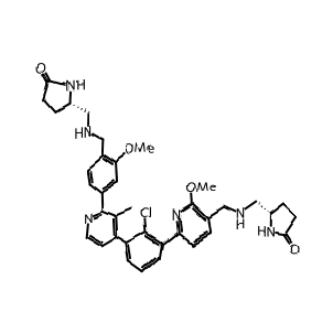 COc1cc(-c2nccc(-c3cccc(-c4ccc(CNC[C@@H]5CCC(=O)N5)c(OC)n4)c3Cl)c2C)ccc1CNC[C@@H]1CCC(=O)N1